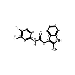 N#Cc1[nH]c2ccccc2c1CC(=O)Nc1ccc(F)c(Cl)c1